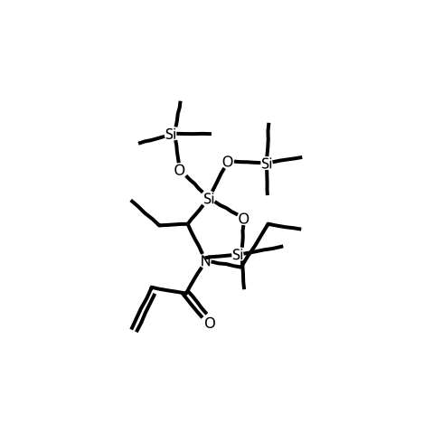 C=CC(=O)N(CCC)C(CC)[Si](O[Si](C)(C)C)(O[Si](C)(C)C)O[Si](C)(C)C